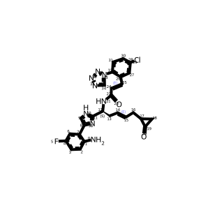 Nc1ccc(F)cc1-c1c[nH]c([C@H](C/C=C/CC2CC2=O)NC(=O)/C=C/c2cc(Cl)ccc2-n2cnnn2)n1